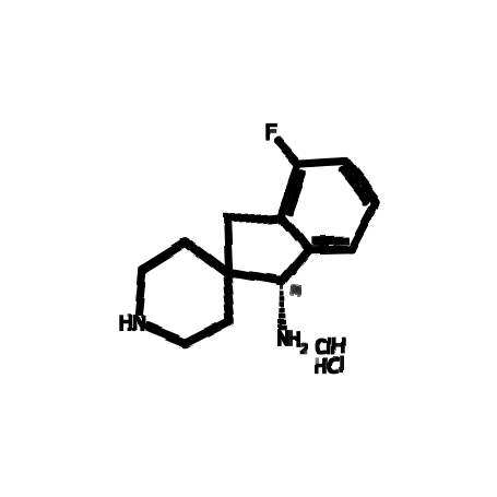 Cl.Cl.N[C@H]1c2cccc(F)c2CC12CCNCC2